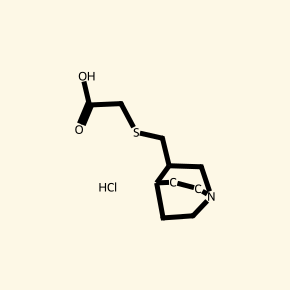 Cl.O=C(O)CSCC1CN2CCC1CC2